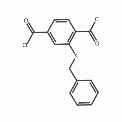 O=C(Cl)c1ccc(C(=O)Cl)c(SCc2ccccc2)c1